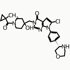 CC1(C(=O)N2CCC(O)(Cn3cnc4c(cc(Cl)n4-c4ccc([C@H]5COCCN5)cc4)c3=O)CC2)CC1